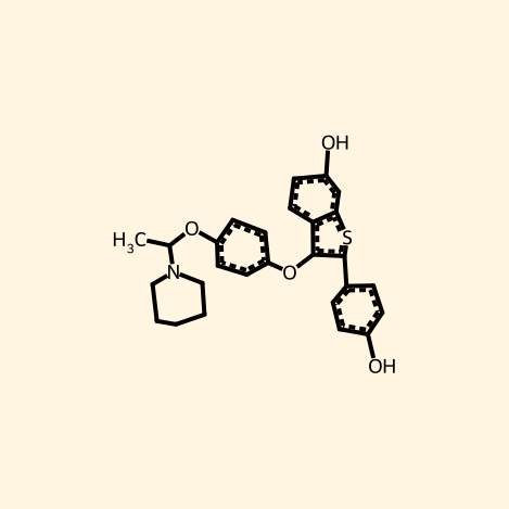 CC(Oc1ccc(Oc2c(-c3ccc(O)cc3)sc3cc(O)ccc23)cc1)N1CCCCC1